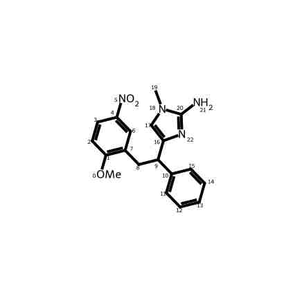 COc1ccc([N+](=O)[O-])cc1CC(c1ccccc1)c1cn(C)c(N)n1